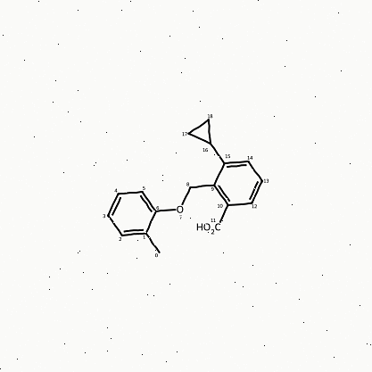 Cc1ccccc1OCc1c(C(=O)O)cccc1C1CC1